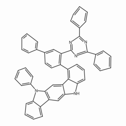 c1ccc(-c2ccc(-c3cccc4[nH]c5cc6c7ccccc7n(-c7ccccc7)c6cc5c34)c(-c3nc(-c4ccccc4)nc(-c4ccccc4)n3)c2)cc1